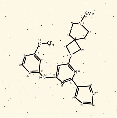 CSN1CCC2(CC1)CN(c1cc(Nc3cc(OC(F)(F)F)ccn3)nc(-c3cccnc3)n1)C2